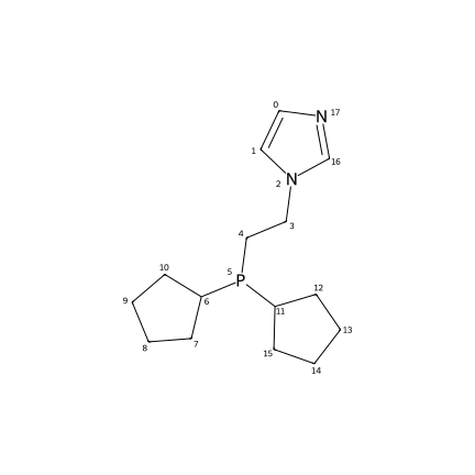 c1cn(CCP(C2CCCC2)C2CCCC2)cn1